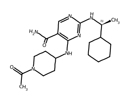 CC(=O)N1CCC(Nc2nc(N[C@@H](C)C3CCCCC3)ncc2C(N)=O)CC1